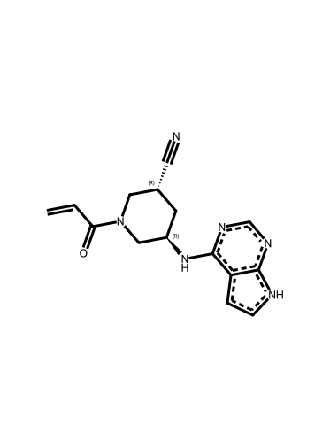 C=CC(=O)N1C[C@H](C#N)C[C@@H](Nc2ncnc3[nH]ccc23)C1